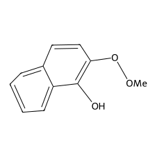 COOc1ccc2ccccc2c1O